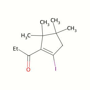 CCC(=O)C1=C(I)CC(C)(C)C1(C)C